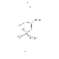 CCCCCCCC(CC(C)C)CC(C)(C)C(=O)O